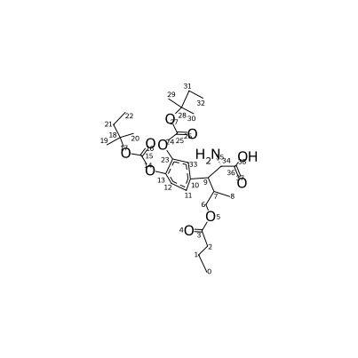 CCCC(=O)OCC(C)C(c1ccc(OC(=O)OC(C)(C)CC)c(OC(=O)OC(C)(C)CC)c1)[C@H](N)C(=O)O